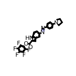 O=C(Oc1c(F)c(F)c(F)c(F)c1F)c1cc2cc(/N=N/c3ccc(N4CCCC4)cc3)ccc2[nH]1